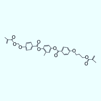 C=C(C)C(=O)OCCCOc1ccc(C(=O)Oc2ccc(OC(=O)c3ccc(OCOC(=O)C(=C)C)cc3)c(C)c2)cc1